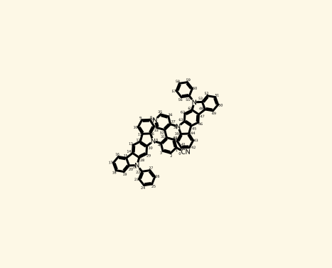 N#Cc1ccc(-n2c3ccccc3c3cc4c5ccccc5n(-c5ccccc5)c4cc32)c(-c2cnccc2-n2c3ccccc3c3cc4c5ccccc5n(-c5ccccc5)c4cc32)c1